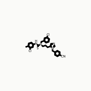 Cc1ccc(NC(=S)N(CCCc2cncn2Cc2ccc(C#N)cc2)Cc2cccc(Cl)c2)cc1Cl